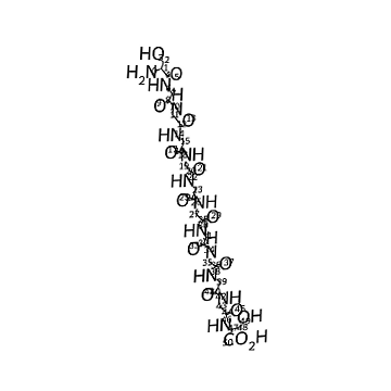 N[C@@H](CO)C(=O)NCC(=O)NCC(=O)NCC(=O)NCC(=O)NCC(=O)NCC(=O)NCC(=O)NCC(=O)NCC(=O)NCC(=O)N[C@@H](CO)C(=O)O